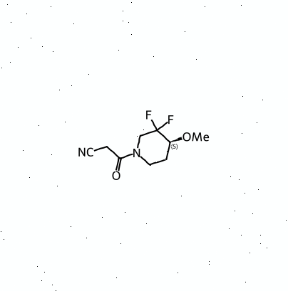 CO[C@H]1CCN(C(=O)CC#N)CC1(F)F